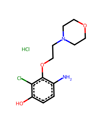 Cl.Nc1ccc(O)c(Cl)c1OCCN1CCOCC1